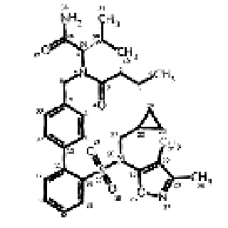 CCCC(=O)N(Cc1ccc(-c2ccccc2S(=O)(=O)N(CC2CC2)c2onc(C)c2C)cc1)[C@H](C(N)=O)C(C)C